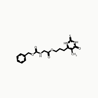 Cc1c(CCCOC(=O)CNC(=O)OCc2ccccc2)[nH]c(=S)[nH]c1=O